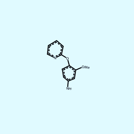 COc1cc([NH])ccc1Oc1ccccn1